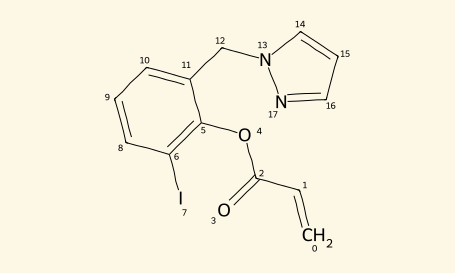 C=CC(=O)Oc1c(I)cccc1Cn1cccn1